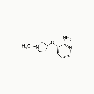 CN1CCC(Oc2cccnc2N)C1